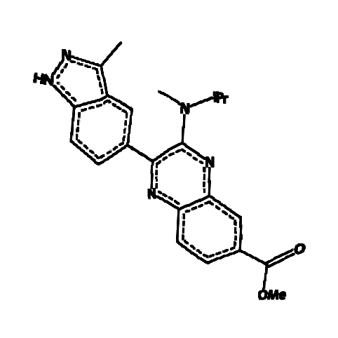 COC(=O)c1ccc2nc(-c3ccc4[nH]nc(C)c4c3)c(N(C)C(C)C)nc2c1